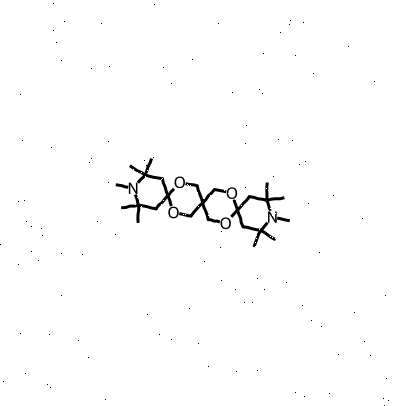 CN1C(C)(C)CC2(CC1(C)C)OCC1(CO2)COC2(CC(C)(C)N(C)C(C)(C)C2)OC1